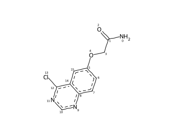 NC(=O)COc1ccc2ncnc(Cl)c2c1